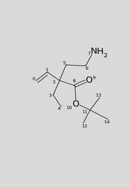 C=CC(CC)(CCN)C(=O)OC(C)(C)C